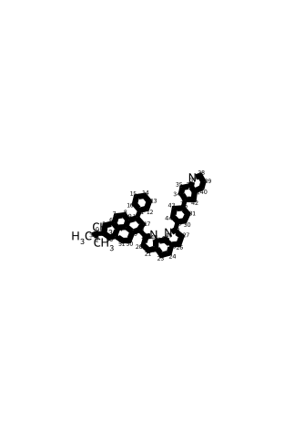 CC(C)(C)c1cc2ccc3c(-c4ccccc4)cc(-c4ccc5ccc6ccc(-c7ccc(-c8ccc9ncccc9c8)cc7)nc6c5n4)c4ccc(c1)c2c34